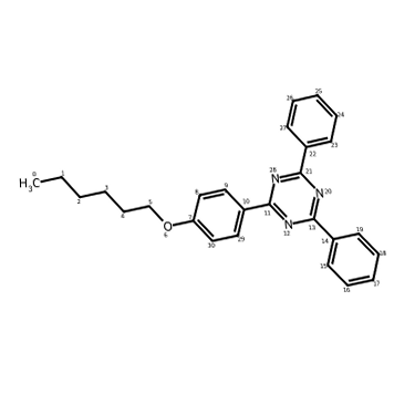 CCCCCCOc1c[c]c(-c2nc(-c3ccccc3)nc(-c3ccccc3)n2)cc1